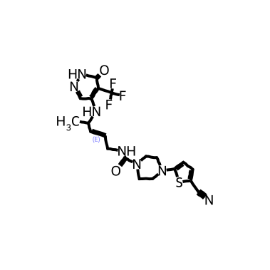 CC(/C=C/CNC(=O)N1CCN(c2ccc(C#N)s2)CC1)Nc1cn[nH]c(=O)c1C(F)(F)F